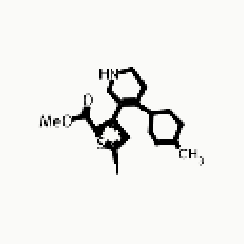 COC(=O)c1sc(I)cc1C1=C(C2CCC(C)CC2)CCNC1